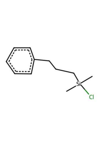 C[Si](C)(Cl)CCCc1ccccc1